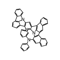 c1ccc(N(c2ccccc2)c2cc3ccccc3c3c4cc5ccccc5c5c6cc7c(nc6n(c23)c45)c2cccc3c4ccccc4n7c32)cc1